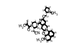 C=C(F)C(=O)N1CCN(c2nc(OC[C@@H]3CCCN3C)cc3c2CCN(c2cccc4ccn(C)c(=O)c24)C3)C[C@@H]1CC#N